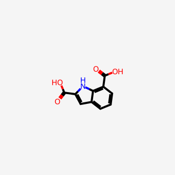 O=C(O)c1cc2cccc(C(=O)O)c2[nH]1